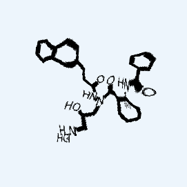 Cl.NCC(O)CN(NC(=O)CCc1ccc2ccccc2c1)C(=O)C1CCCC[C@H]1NC(=O)c1ccccc1